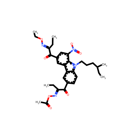 CCO/N=C(\CC)C(=O)c1cc([N+](=O)[O-])c2c(c1)c1cc(C(=O)/C(CC)=N/OC(C)=O)ccc1n2CCCC(C)CC